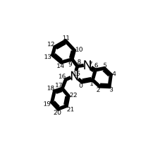 C1=c2ccccc2=NC(c2ccccc2)N1Cc1ccccc1